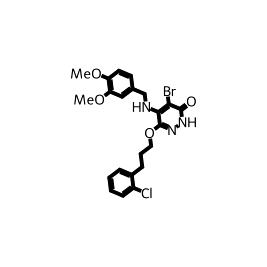 COc1ccc(CNc2c(OCCCc3ccccc3Cl)n[nH]c(=O)c2Br)cc1OC